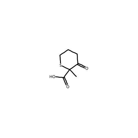 CC1(C(=O)O)SCCCC1=O